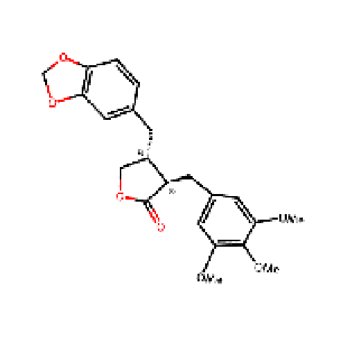 COc1cc(C[C@H]2C(=O)OC[C@@H]2Cc2ccc3c(c2)OCO3)cc(OC)c1OC